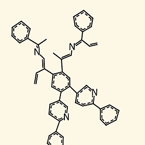 C=C/C(=C\N=C(/C)c1ccccc1)c1cc(-c2ccc(-c3ccccc3)nc2)c(-c2ccc(-c3ccccc3)nc2)cc1/C(C)=C/N=C(\C=C)c1ccccc1